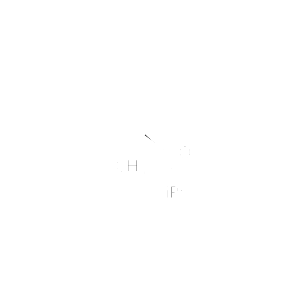 Cc1ccccc1[C@H]1O[C@@H]1C(C)C